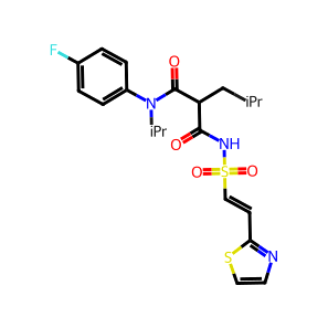 CC(C)CC(C(=O)NS(=O)(=O)/C=C/c1nccs1)C(=O)N(c1ccc(F)cc1)C(C)C